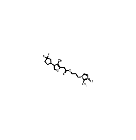 CC[n+]1ccn(CCCOC(=O)Cc2scc(C3CCC(F)(F)C3)c2O)c1C